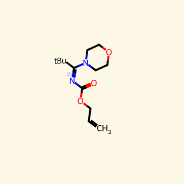 C=CCOC(=O)/N=C(\N1CCOCC1)C(C)(C)C